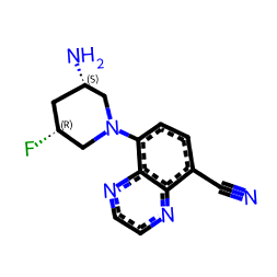 N#Cc1ccc(N2C[C@@H](N)C[C@@H](F)C2)c2nccnc12